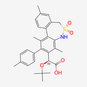 Cc1ccc(-c2c(C)c3c(c(C)c2[C@H](OC(C)(C)C)C(=O)O)NS(=O)(=O)Cc2cc(C)ccc2-3)cc1